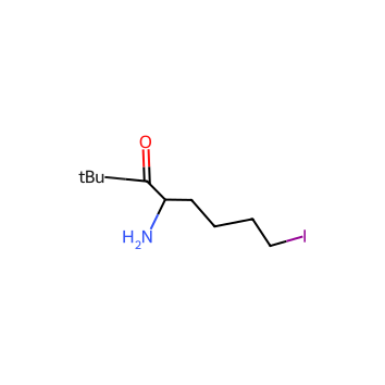 CC(C)(C)C(=O)C(N)CCCCI